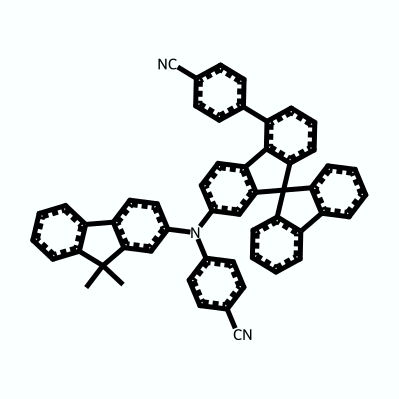 CC1(C)c2ccccc2-c2ccc(N(c3ccc(C#N)cc3)c3ccc4c(c3)C3(c5ccccc5-c5ccccc53)c3cccc(-c5ccc(C#N)cc5)c3-4)cc21